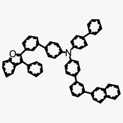 c1ccc(-c2ccc(N(c3ccc(-c4cccc(-c5ccc6ccccc6c5)c4)cc3)c3ccc(-c4cccc(-c5oc6ccccc6c5-c5ccccc5)c4)cc3)cc2)cc1